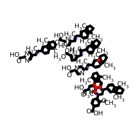 C/C(=C\c1c[nH]c(C(=O)O)n1)c1ccc2c(c1)C1(C)CCC2(C)C1.C/C(=C\c1ccc(C(=O)O)s1)c1ccc2c(c1)C1(C)CCC2(C)C1.C/C(=C\c1cnc(C(=O)O)cn1)c1ccc2c(c1)C1(C)CCC2(C)C1.C/C(=C\c1cnc(C(=O)O)nc1)c1ccc2c(c1)C1(C)CCC2(C)C1.COc1cc(C(=O)O)ccc1/C(C/C(=C\c1ccc(C(=O)O)nc1)c1ccc2c(c1)C1(C)CCC2(C)C1)=C(\C)c1ccc2c(c1)C1(C)CCC2(C)C1